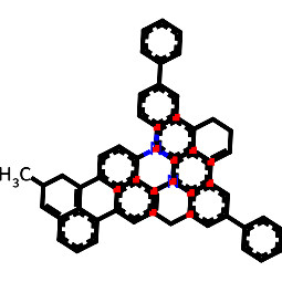 CC1C=c2cccc(-c3ccc(N(c4ccc(-c5ccccc5)cc4)c4cccc5c4C=CCC5)cc3)c2=C(c2ccc(N(c3ccc(-c4ccccc4)cc3)c3cccc4c3C=CCC4)cc2)C1